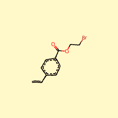 C=Cc1ccc(C(=O)OCCBr)cc1